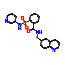 O=C(NCc1ccc2ncccc2c1)c1ccccc1S(=O)(=O)Nc1cccnc1